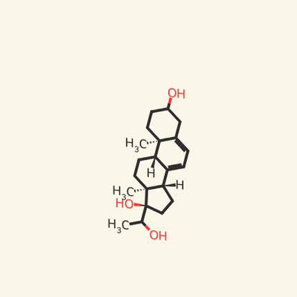 CC(O)[C@@]1(O)CC[C@H]2C3=CC=C4CC(O)CC[C@]4(C)[C@H]3CC[C@@]21C